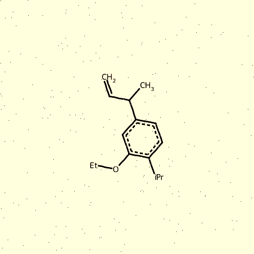 C=C[C](C)c1ccc(C(C)C)c(OCC)c1